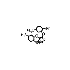 CC1CCC(C(C)C)C(Oc2nsnc2OC2CC(C)CCC2C(C)C)C1